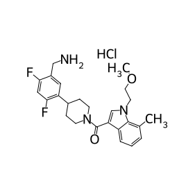 COCCn1cc(C(=O)N2CCC(c3cc(CN)c(F)cc3F)CC2)c2cccc(C)c21.Cl